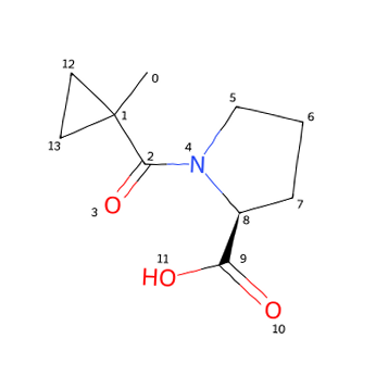 CC1(C(=O)N2CCC[C@H]2C(=O)O)CC1